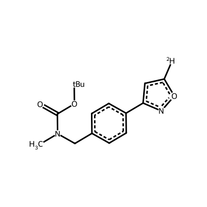 [2H]c1cc(-c2ccc(CN(C)C(=O)OC(C)(C)C)cc2)no1